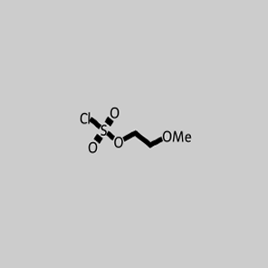 COCCOS(=O)(=O)Cl